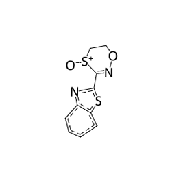 [O-][S+]1CCON=C1c1nc2ccccc2s1